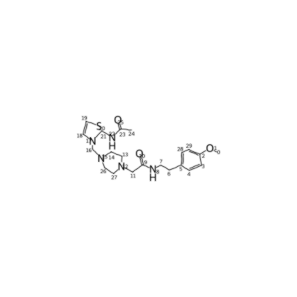 COc1ccc(CCNC(=O)CN2CCN(CN3C=CSC3NC(C)=O)CC2)cc1